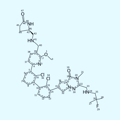 COc1nc(-c2cccc(-c3cccc(-c4cc5c(=O)n(C)c(CNCC(C)(C)F)nn5c4)c3Cl)c2Cl)ccc1CNC[C@H]1CCC(=O)N1